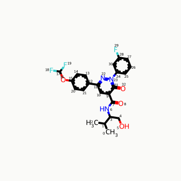 CC(C)C(CO)NC(=O)c1cc(-c2ccc(OC(F)F)cc2)nn(-c2cccc(F)c2)c1=O